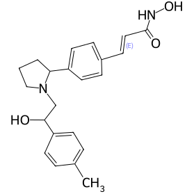 Cc1ccc(C(O)CN2CCCC2c2ccc(/C=C/C(=O)NO)cc2)cc1